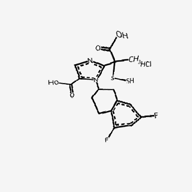 CC(SS)(C(=O)O)c1ncc(C(=O)O)n1C1CCc2c(F)cc(F)cc2C1.Cl